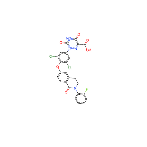 O=C(O)c1nn(-c2cc(Cl)c(Oc3ccc4c(c3)CCN(c3ccccc3F)C4=O)c(Cl)c2)c(=O)[nH]c1=O